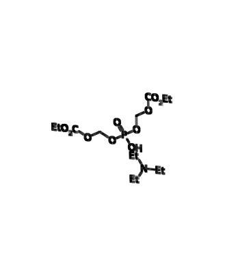 CCN(CC)CC.CCOC(=O)OCOP(=O)(O)OCOC(=O)OCC